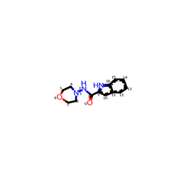 O=C(NN1CCOCC1)c1cc2ccccc2[nH]1